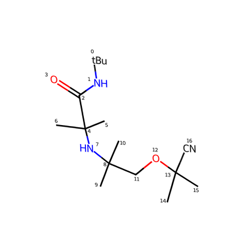 CC(C)(C)NC(=O)C(C)(C)NC(C)(C)COC(C)(C)C#N